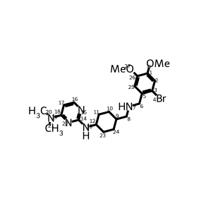 COc1cc(Br)c(CNCC2CCC(Nc3nccc(N(C)C)n3)CC2)cc1OC